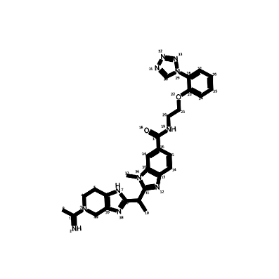 CC(=N)N1CCc2[nH]c(C(C)c3nc4ccc(C(=O)NCCOc5ccccc5-n5cnnn5)cc4n3C)nc2C1